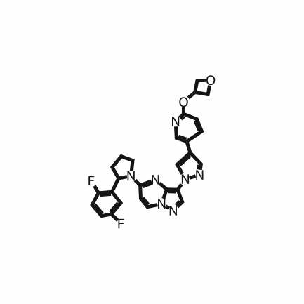 Fc1ccc(F)c(C2CCCN2c2ccn3ncc(-n4cc(-c5ccc(OC6COC6)nc5)cn4)c3n2)c1